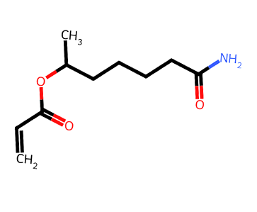 C=CC(=O)OC(C)CCCCC(N)=O